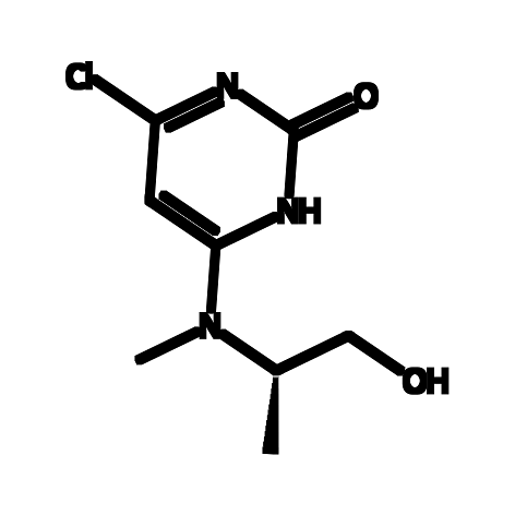 C[C@@H](CO)N(C)c1cc(Cl)nc(=O)[nH]1